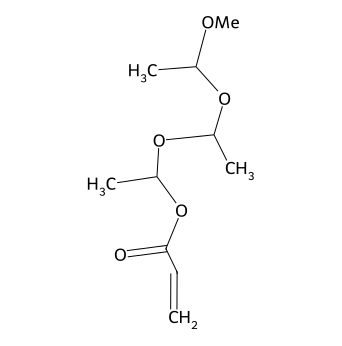 C=CC(=O)OC(C)OC(C)OC(C)OC